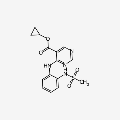 CS(=O)(=O)Nc1ccccc1Nc1ncncc1C(=O)OC1CC1